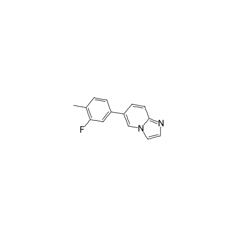 Cc1ccc(-c2ccc3nccn3c2)cc1F